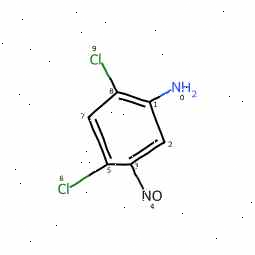 Nc1cc(N=O)c(Cl)cc1Cl